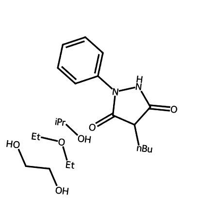 CC(C)O.CCCCC1C(=O)NN(c2ccccc2)C1=O.CCOCC.OCCO